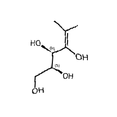 CC(C)=C(O)[C@H](O)[C@@H](O)CO